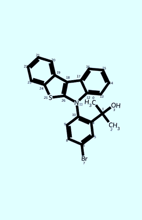 CC(C)(O)c1cc(Br)ccc1-n1c2ccccc2c2c3ccccc3sc21